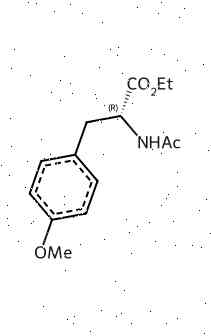 CCOC(=O)[C@@H](Cc1ccc(OC)cc1)NC(C)=O